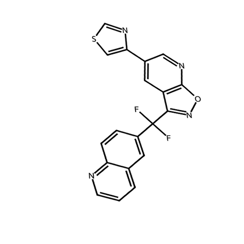 FC(F)(c1ccc2ncccc2c1)c1noc2ncc(-c3cscn3)cc12